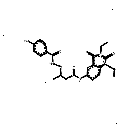 CCn1c(=O)c2cc(NC(=O)CC(C)CNC(=O)c3ccc(O)cc3)ccc2n(CC)c1=O